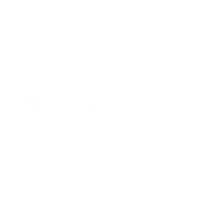 O=C(Nc1ccc(-c2ccccc2)c2c1C(=O)NC2)c1ccncc1